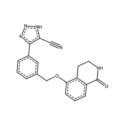 N#Cc1[nH]nnc1-c1cccc(COc2cccc3c2CCNC3=O)c1